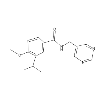 COc1ccc(C(=O)NCc2cncnc2)cc1C(C)C